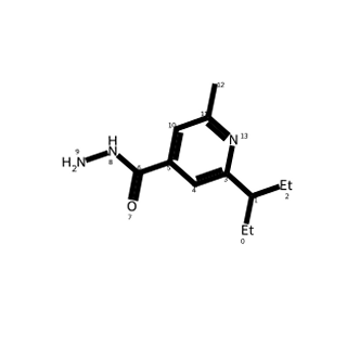 CCC(CC)c1cc(C(=O)NN)cc(C)n1